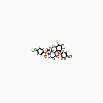 O=S(=O)(c1ccc(Cl)cc1)N1CCC[C@]2(S(=O)(=O)c3ccc(Cl)cc3)c3c(F)ccc(F)c3OC[C@H]12